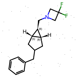 FC1(F)CN(C[C@H]2[C@@H]3CC(Cc4ccccc4)C[C@@H]32)C1